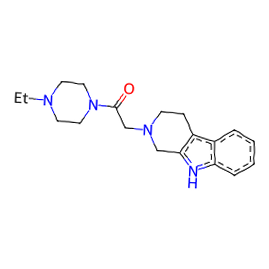 CCN1CCN(C(=O)CN2CCc3c([nH]c4ccccc34)C2)CC1